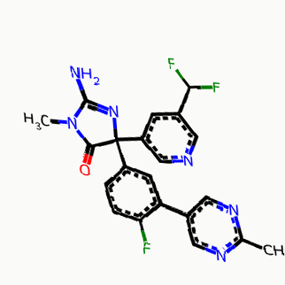 Cc1ncc(-c2cc(C3(c4cncc(C(F)F)c4)N=C(N)N(C)C3=O)ccc2F)cn1